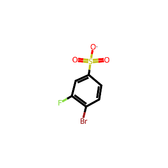 [O]S(=O)(=O)c1ccc(Br)c(F)c1